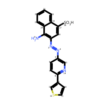 Nc1c(N=Nc2ccc(-c3ccsc3)nc2)cc(S(=O)(=O)O)c2ccccc12